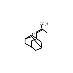 C/C(=C\C12CC3CC(C1)C(O)C(C3)C2)C(=O)O